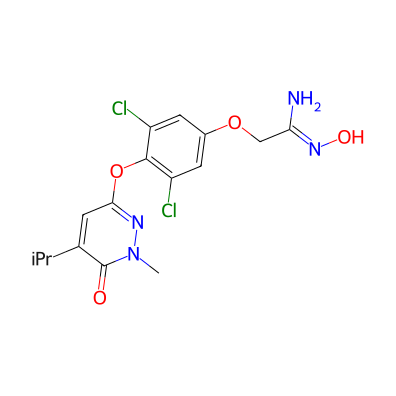 CC(C)c1cc(Oc2c(Cl)cc(OC/C(N)=N/O)cc2Cl)nn(C)c1=O